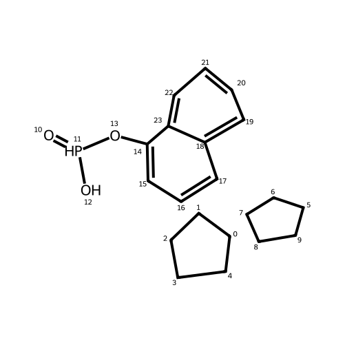 C1CCCC1.C1CCCC1.O=[PH](O)Oc1cccc2ccccc12